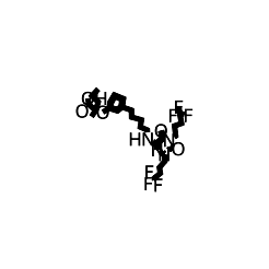 CCCC(C)(Oc1cccc(CCCCCNc2nn(CCCC(F)(F)F)c(=O)n(CCCC(F)(F)F)c2=O)c1)C(=O)O